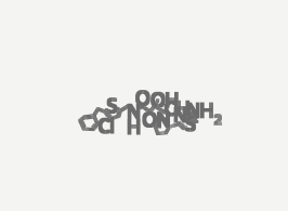 C=C(C(O)[C@@H](O)C(=O)NCc1ccc(Cc2ccccc2Cl)s1)N1CCC[C@@H]1c1csc(N)n1